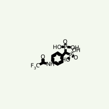 O=C(Nc1ccc(C(P(=O)(O)O)P(=O)(O)O)cc1)C(F)(F)F